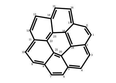 [c]1cc2ccc3c[c]c4ccc5ccc6ccc1c1c2c3c4c5c61